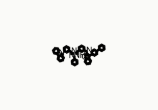 c1ccc(-c2ccc3c(c2)nc(-c2cccc(C4=NC(c5cccc(-n6c7ccccc7c7ccccc76)c5)=NC(c5ccccc5)N4)c2)c2oc4ccccc4c23)cc1